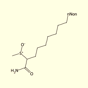 CCCCCCCCCCCCCCCCC(C(N)=O)[S+](C)[O-]